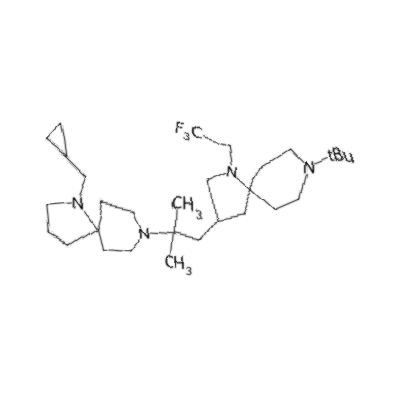 CC(C)(C)N1CCC2(CC1)CC(CC(C)(C)N1CCC3(CCCN3CC3CC3)CC1)CN2CC(F)(F)F